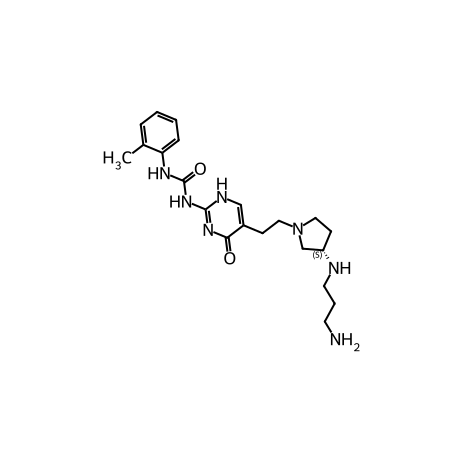 Cc1ccccc1NC(=O)Nc1nc(=O)c(CCN2CC[C@H](NCCCN)C2)c[nH]1